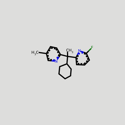 Cc1ccc(C(C)(c2cccc(F)n2)C2CCCCC2)nc1